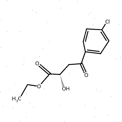 CCOC(=O)[C@@H](O)CC(=O)c1ccc(Cl)cc1